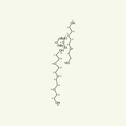 CCCCOCCCC.CCOCC.OCCOCCOCCO.OCCOCCOCCOCCO